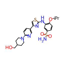 CC(C)Oc1ccc(S(N)(=O)=O)cc1Nc1nc(-c2ccc(N3CCC(CO)CC3)nc2)cs1